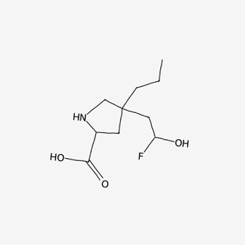 CCCC1(CC(O)F)CNC(C(=O)O)C1